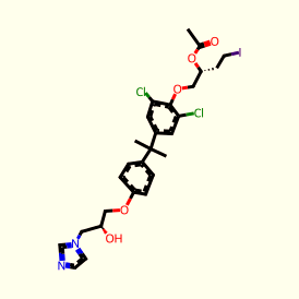 CC(=O)O[C@H](CCI)COc1c(Cl)cc(C(C)(C)c2ccc(OC[C@@H](O)Cn3ccnc3)cc2)cc1Cl